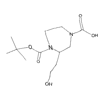 CC(C)(C)OC(=O)N1CCN(C(=O)O)CC1CCO